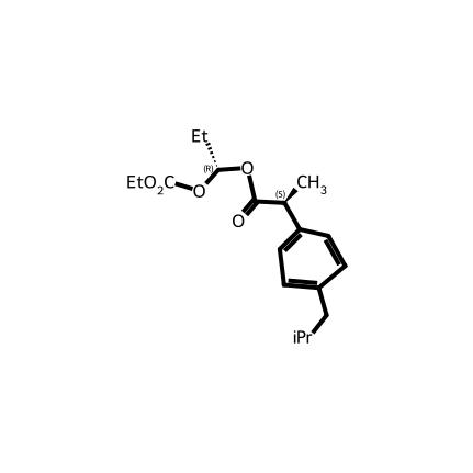 CCOC(=O)O[C@H](CC)OC(=O)[C@@H](C)c1ccc(CC(C)C)cc1